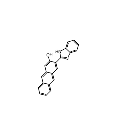 Oc1cc2cc3ccccc3cc2cc1-c1nc2ccccc2[nH]1